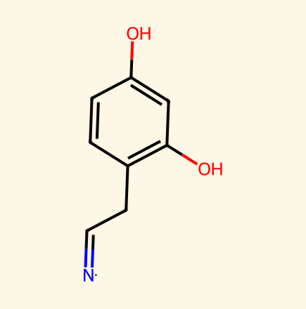 [N]=CCc1ccc(O)cc1O